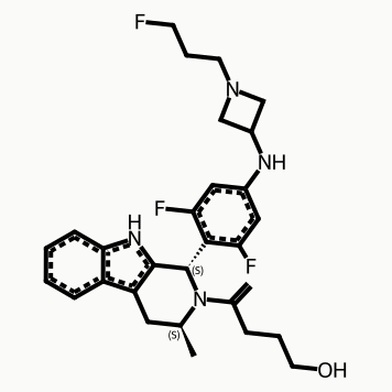 C=C(CCCO)N1[C@@H](c2c(F)cc(NC3CN(CCCF)C3)cc2F)c2[nH]c3ccccc3c2C[C@@H]1C